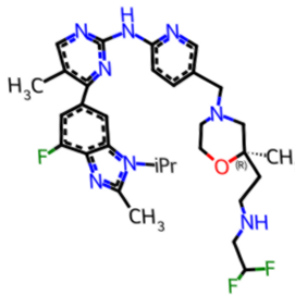 Cc1cnc(Nc2ccc(CN3CCO[C@](C)(CCNCC(F)F)C3)cn2)nc1-c1cc(F)c2nc(C)n(C(C)C)c2c1